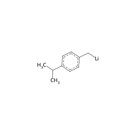 [Li][CH2]c1ccc(C(C)C)cc1